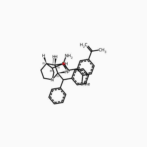 C=C(C)c1ccc(OC)c(CN[C@H]2[C@H]3CCN(C[C@@H]3C(N)=O)[C@H]2C(c2ccccc2)c2ccccc2)c1